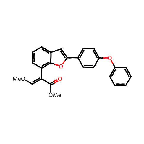 CO/C=C(/C(=O)OC)c1cccc2cc(-c3ccc(Oc4ccccc4)cc3)oc12